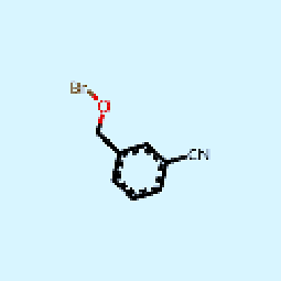 N#Cc1cccc(COBr)c1